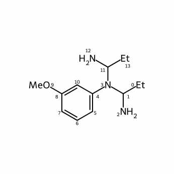 CCC(N)N(c1cccc(OC)c1)C(N)CC